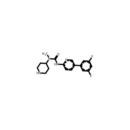 CN(C(=O)Nc1ccc(-c2cc(F)cc(F)c2)cn1)C1CCNCC1